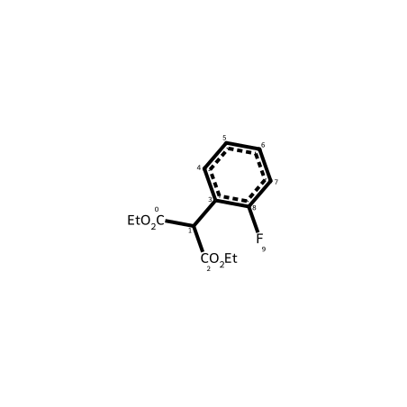 CCOC(=O)C(C(=O)OCC)c1ccccc1F